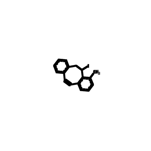 Cc1cccc2c1C(I)Cc1ccccc1C#C2